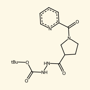 CC(C)(C)OC(=O)NNC(=O)C1CCN(C(=O)c2ccccn2)C1